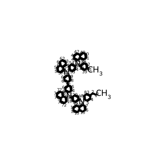 CCCc1ccc(N(C2=C3C=CC=CC3CC=C2)c2ccc(N(c3ccc(-c4ccc(N(c5ccc(N(c6ccc(C)cc6)c6cccc7ccccc67)cc5)c5cccc6ccccc56)cc4)cc3)c3cccc4ccccc34)cc2)cc1